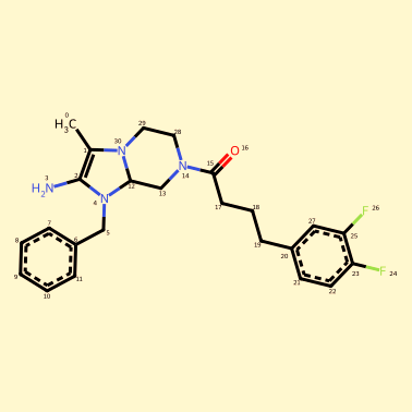 CC1=C(N)N(Cc2ccccc2)C2CN(C(=O)CCCc3ccc(F)c(F)c3)CCN12